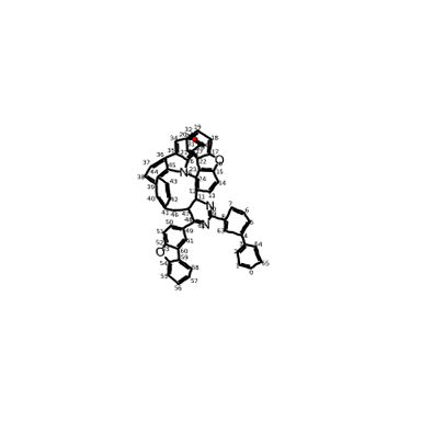 c1ccc(-c2cccc(C3=NC4c5ccc6oc7ccccc7c6c5-n5c6cc7ccccc7cc6c6ccc7cc(ccc7c65)CC4C(c4ccc5oc6ccccc6c5c4)=N3)c2)cc1